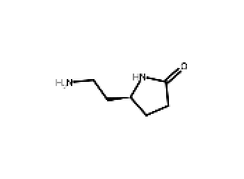 NCC[C@@H]1CCC(=O)N1